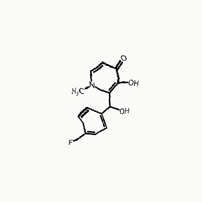 Cn1ccc(=O)c(O)c1C(O)c1ccc(F)cc1